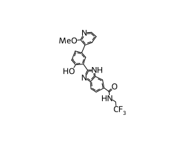 COc1ncccc1-c1ccc(O)c(-c2nc3ccc(C(=O)NCC(F)(F)F)cc3[nH]2)c1